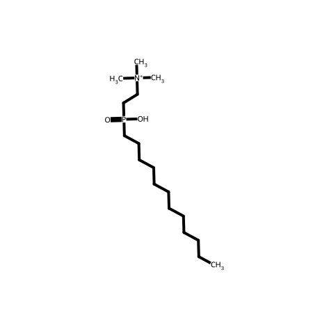 CCCCCCCCCCCCP(=O)(O)CC[N+](C)(C)C